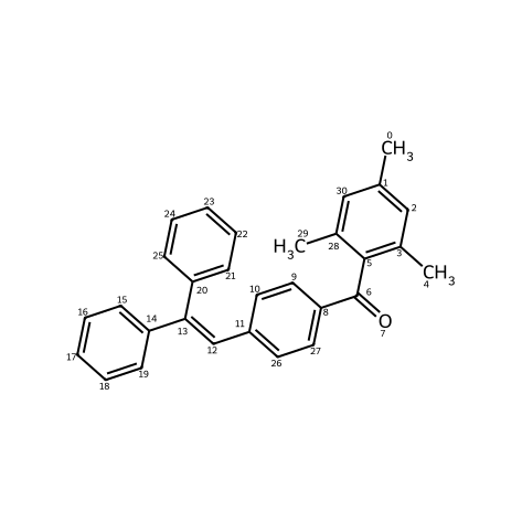 Cc1cc(C)c(C(=O)c2ccc(C=C(c3ccccc3)c3ccccc3)cc2)c(C)c1